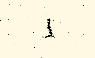 CCCCCCC(C)Oc1ccc(-c2ncc(-c3ccc(CCCCCCC4CCCC4)cc3)cn2)cc1